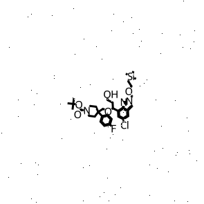 CC(C)(C)OC(=O)N1CCC(COC(CCO)c2cc(Cl)cc3cn(COCC[Si](C)(C)C)nc23)(c2ccc(F)cc2)CC1